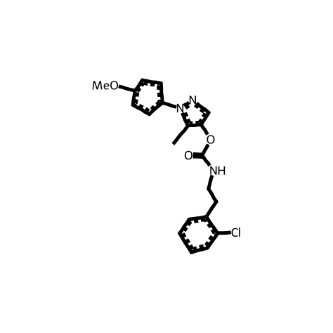 COc1ccc(-n2ncc(OC(=O)NCCc3ccccc3Cl)c2C)cc1